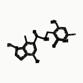 CCCc1cc(C)[nH]c(=O)c1CNC(=O)c1cc(Br)c2ccn(C(C)C)c2c1C